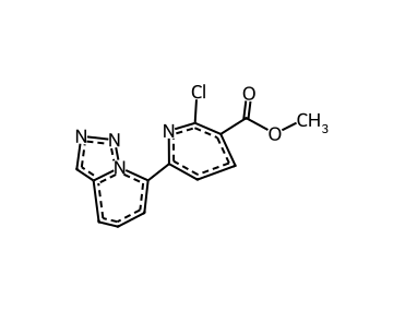 COC(=O)c1ccc(-c2cccc3cnnn23)nc1Cl